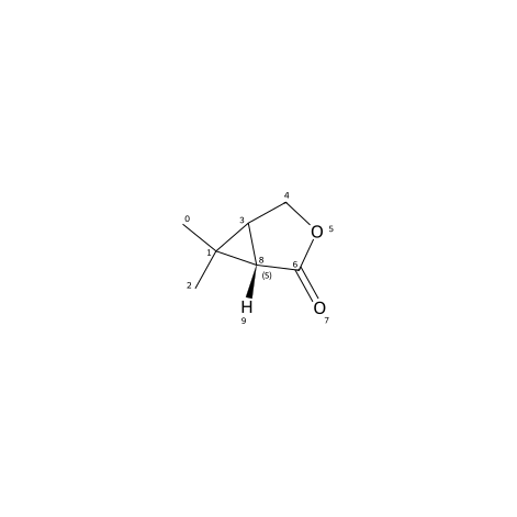 CC1(C)C2COC(=O)[C@@H]21